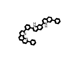 C1=CC2=CC=C(c3cccc(-c4ccc5ccc6ccc(-c7ccccc7)nc6c5n4)c3)NC2C=C1C1=CC=C2CCC(c3ccccc3)=CC2N1